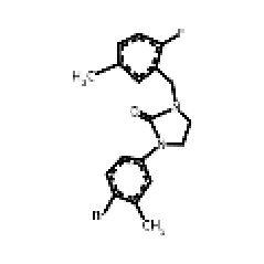 Cc1ccc(F)c(CN2CCN(c3ccc(Br)c(C)c3)C2=O)c1